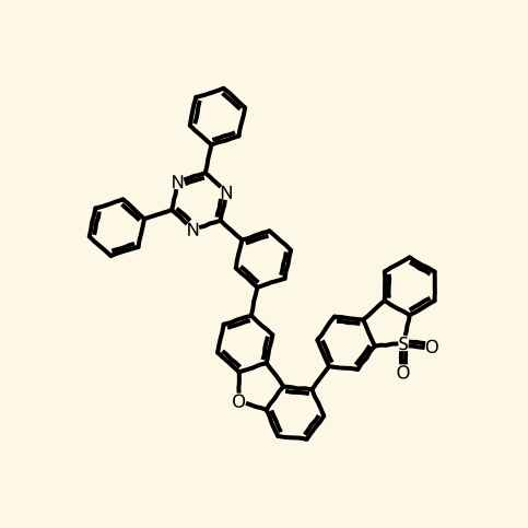 O=S1(=O)c2ccccc2-c2ccc(-c3cccc4oc5ccc(-c6cccc(-c7nc(-c8ccccc8)nc(-c8ccccc8)n7)c6)cc5c34)cc21